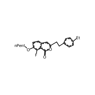 CCCCCOc1ccc2cc(CCc3ccc(CC)cc3)oc(=O)c2c1F